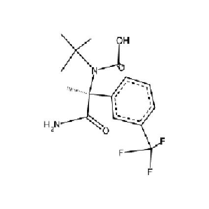 CC(C)(C)N(C(=O)O)[C@](C)(C(N)=O)c1cccc(C(F)(F)F)c1